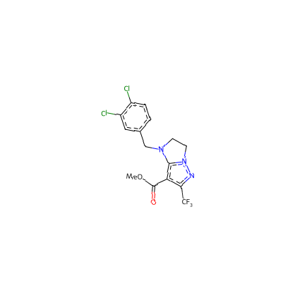 COC(=O)c1c(C(F)(F)F)nn2c1N(Cc1ccc(Cl)c(Cl)c1)CC2